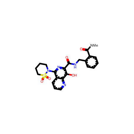 CNC(=O)c1ccccc1CNC(=O)c1nc(N2CCCCS2(=O)=O)c2cccnc2c1O